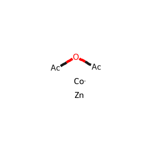 CC(=O)OC(C)=O.[Co].[Zn]